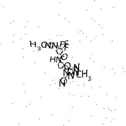 CN1CCN(Cc2ccc(C(=O)Nc3cccc(Oc4nc(-c5ccncc5)nc5c4cnn5C)c3)cc2C(F)(F)F)CC1